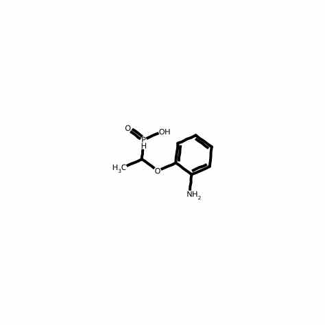 CC(Oc1ccccc1N)[PH](=O)O